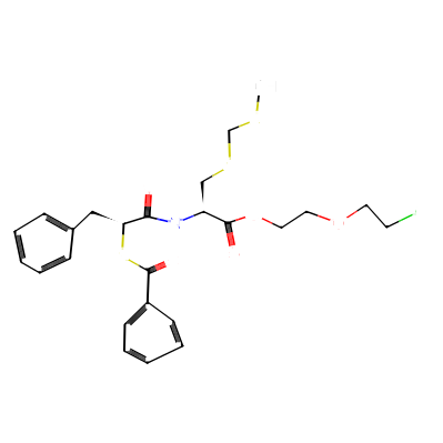 CSCSC[C@H](NC(=O)[C@H](Cc1ccccc1)SC(=O)c1ccccc1)C(=O)OCCOCCCl